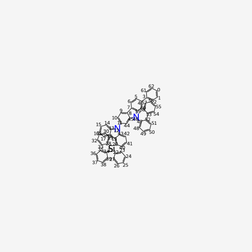 c1ccc(-c2ccc3c4ccc(-n5c6ccccc6c6c([Si](c7ccccc7)(c7ccccc7)c7ccccc7)cccc65)cc4n(-c4ccccc4-c4ccccc4)c3c2)cc1